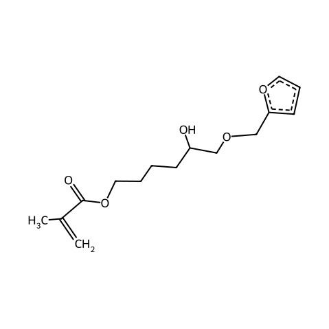 C=C(C)C(=O)OCCCCC(O)COCc1ccco1